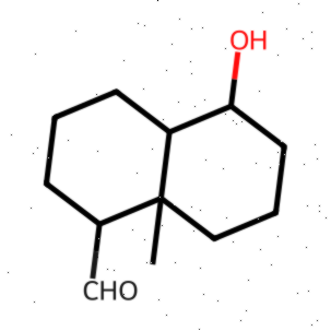 CC12CCCC(O)C1CCCC2C=O